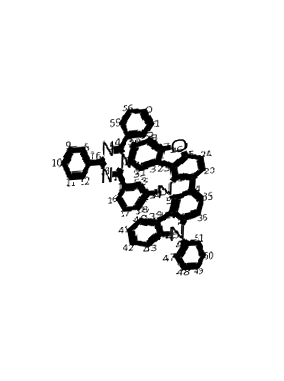 c1ccc(-c2nc(-c3ccccc3)nc(-c3cccc(-n4c5c(ccc6oc7ccccc7c65)c5ccc6c(c7ccccc7n6-c6ccccc6)c54)c3)n2)cc1